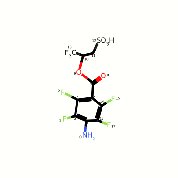 Nc1c(F)c(F)c(C(=O)OC(CS(=O)(=O)O)C(F)(F)F)c(F)c1F